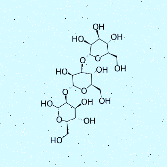 OC[C@H]1O[C@H](O[C@@H]2[C@H](O)[C@@H](O[C@@H]3C(O)O[C@H](CO)[C@@H](O)[C@@H]3O)O[C@H](CO)[C@H]2O)[C@@H](O)[C@@H](O)[C@@H]1O